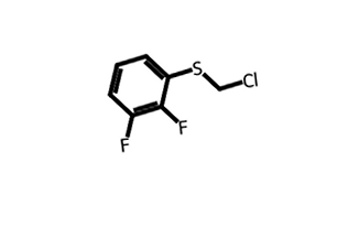 Fc1cccc(SCCl)c1F